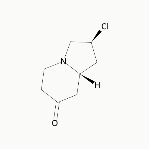 O=C1CCN2C[C@@H](Cl)C[C@@H]2C1